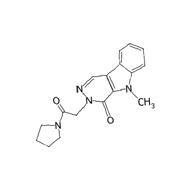 Cn1c2ccccc2c2cnn(CC(=O)N3CCCC3)c(=O)c21